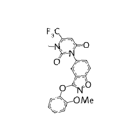 COc1ccccc1Oc1noc2ccc(-n3c(=O)cc(C(F)(F)F)n(C)c3=O)cc12